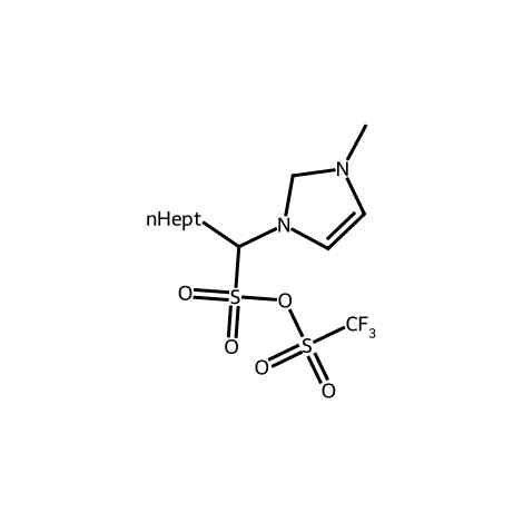 CCCCCCCC(N1C=CN(C)C1)S(=O)(=O)OS(=O)(=O)C(F)(F)F